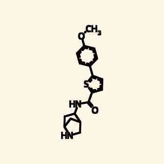 COc1ccc(-c2ccc(C(=O)NC3CC4CC3CN4)s2)cc1